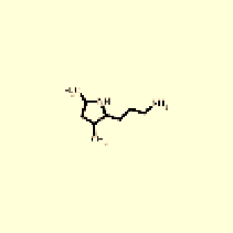 CC1CC(C)C(CCCN)N1